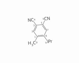 Cc1cc(C#N)c(C#N)cc1C(C)C